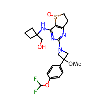 COC1(c2ccc(OC(F)F)cc2)CN(c2nc3c(c(NC4(CO)CCC4)n2)[S@+]([O-])CC3)C1